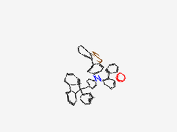 c1ccc(C2(c3ccc(N(c4ccc5sc6ccccc6c5c4)c4cccc5oc6ccccc6c45)cc3)c3ccccc3-c3ccccc32)cc1